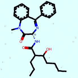 CCCCC(O)C(CCC)C(=O)N[C@H]1N=C(c2ccccc2)c2ccccc2N(C)C1=O